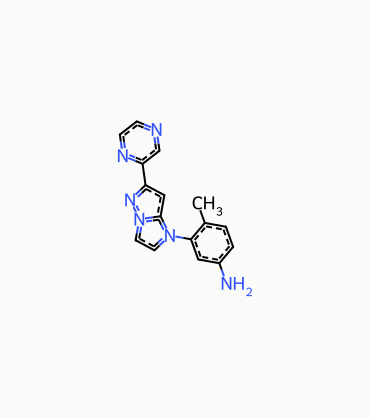 Cc1ccc(N)cc1-n1ccn2nc(-c3cnccn3)cc12